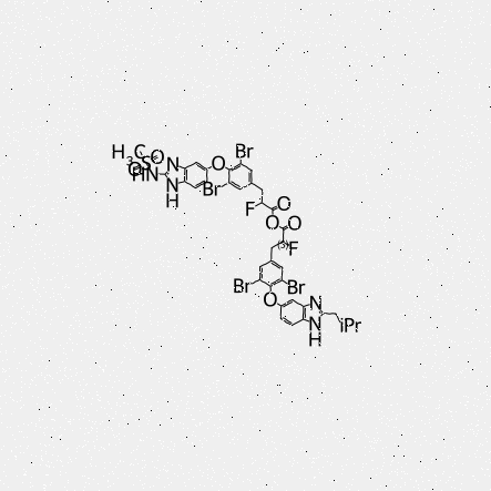 CC(C)Cc1nc2cc(Oc3c(Br)cc(C[C@H](F)C(=O)OC(=O)C(F)Cc4cc(Br)c(Oc5ccc6[nH]c(NS(C)(=O)=O)nc6c5)c(Br)c4)cc3Br)ccc2[nH]1